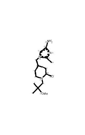 COC(C)(C)CN1CCC(Cn2cc(N)nc2C)CC1Cl